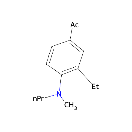 CCCN(C)c1ccc(C(C)=O)cc1CC